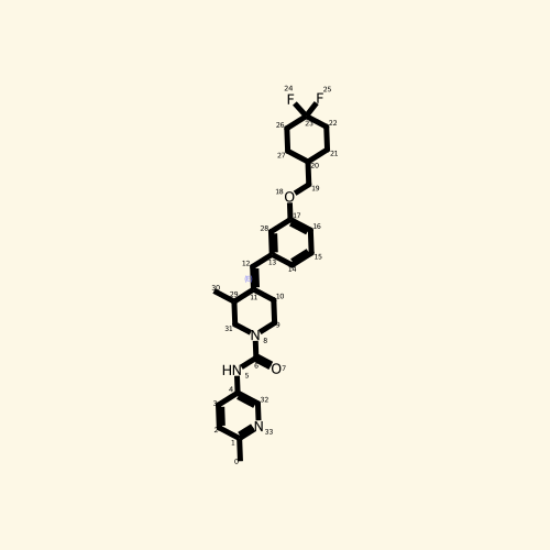 Cc1ccc(NC(=O)N2CC/C(=C\c3cccc(OCC4CCC(F)(F)CC4)c3)C(C)C2)cn1